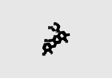 COc1nc2c(cc1Cc1cccc(Cl)c1F)c(=O)c(C)cn2[C@H](CO)CC(C)C